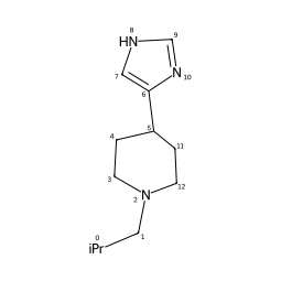 CC(C)CN1CCC(c2c[nH]cn2)CC1